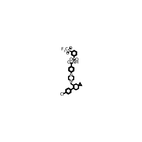 O=C(NS(=O)(=O)c1cccc(S(=O)(=O)C(F)(F)F)c1)c1ccc(N2CCN(CC3=C(c4ccc(Cl)cc4)CCC4(CC4)C3)CC2)cc1